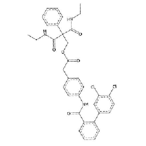 CCNC(=O)C(COC(=O)Cc1ccc(NC(=O)c2ccccc2-c2ccc(Cl)c(Cl)c2)cc1)(C(=O)NCC)c1ccccc1